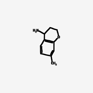 Cc1ccc2c(c1)OCCC2N